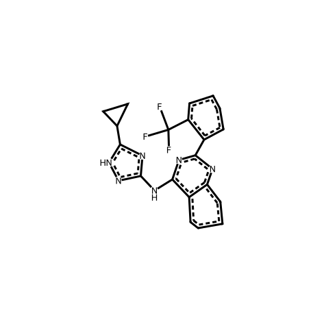 FC(F)(F)c1ccccc1-c1nc(Nc2n[nH]c(C3CC3)n2)c2ccccc2n1